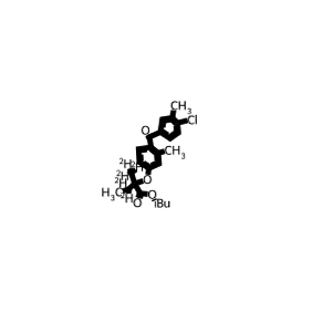 [2H]C([2H])([2H])C(Oc1ccc(C(=O)c2ccc(Cl)c(C)c2)c(C)c1)(C(=O)OC(C)CC)C([2H])([2H])C